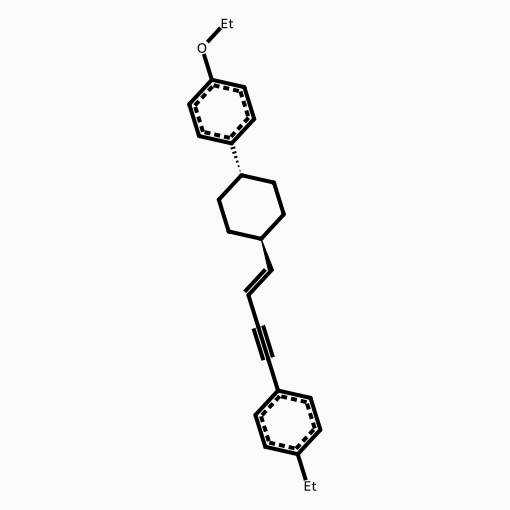 CCOc1ccc([C@H]2CC[C@H](C=CC#Cc3ccc(CC)cc3)CC2)cc1